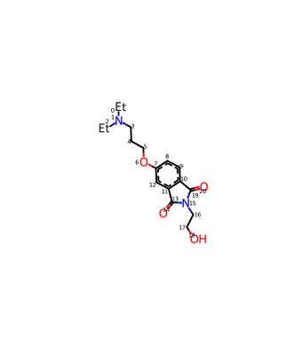 CCN(CC)CCCOc1ccc2c(c1)C(=O)N(CCO)C2=O